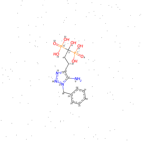 Nc1c(CCC(O)(P(=O)(O)O)P(=O)(O)O)nnn1Cc1ccccc1